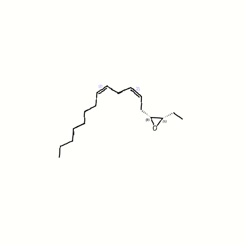 CCCCCCC/C=C\C/C=C\C[C@H]1O[C@H]1CC